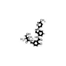 Cc1ccc(-n2ncc3c(NC(=O)c4cc(CNC(=O)C(C)(C)CO)ccc4Cl)cccc32)nn1